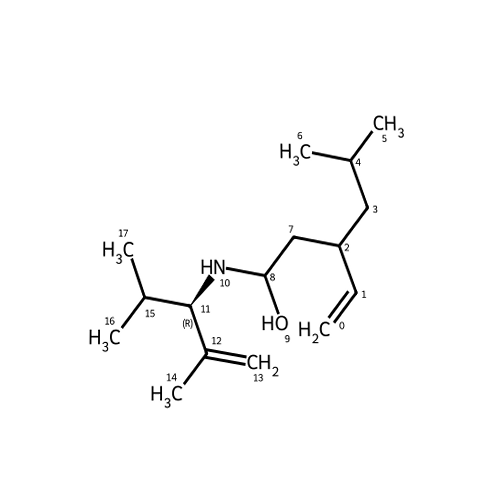 C=CC(CC(C)C)CC(O)N[C@@H](C(=C)C)C(C)C